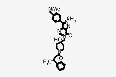 CNCc1ccc(-c2c3ncn(CC4(O)CCN(C(=O)C[C@H](c5ccccc5)C(F)(F)F)CC4)c(=O)c3nn2C)cc1